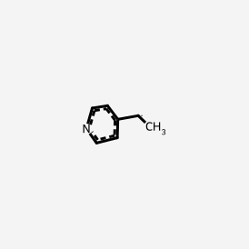 C[CH]c1ccncc1